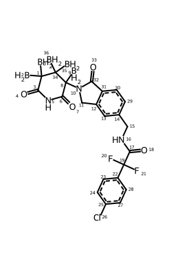 BC1(B)C(=O)NC(=O)C(B)(N2Cc3cc(CNC(=O)C(F)(F)c4ccc(Cl)cc4)ccc3C2=O)C1(B)B